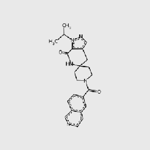 CC(C)n1ncc2c1C(=O)NC1(CCN(C(=O)c3ccc4cnccc4c3)CC1)C2